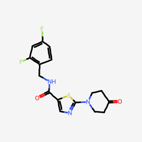 O=C1CCN(c2ncc(C(=O)NCc3ccc(F)cc3F)s2)CC1